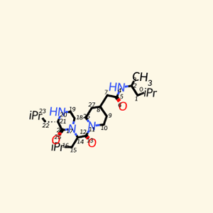 CC(C)CC(C)NC(=O)CC1CCN(C(=O)C(CC(C)C)N2CCN[C@@H](CC(C)C)C2=O)CC1